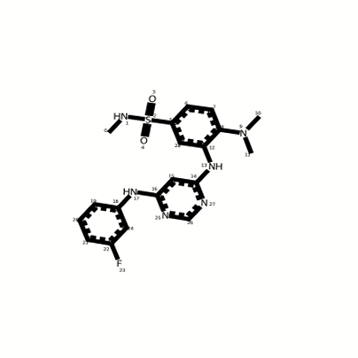 CNS(=O)(=O)c1ccc(N(C)C)c(Nc2cc(Nc3cccc(F)c3)ncn2)c1